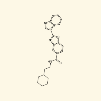 O=C(NCCC1CCCCC1)c1ccc2oc(-c3cnc4ccccn34)nc2c1